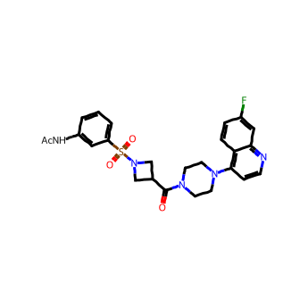 CC(=O)Nc1cccc(S(=O)(=O)N2CC(C(=O)N3CCN(c4ccnc5cc(F)ccc45)CC3)C2)c1